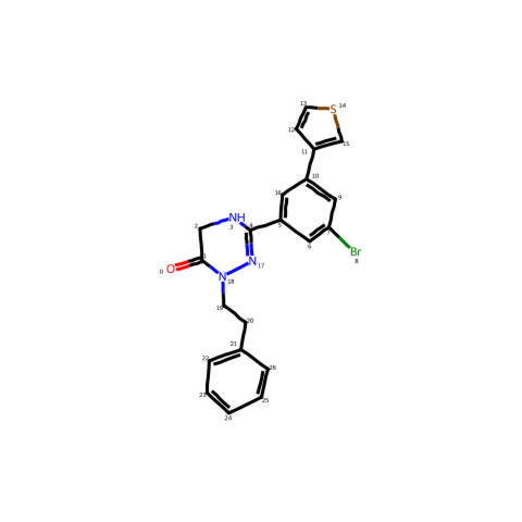 O=C1CNC(c2cc(Br)cc(-c3ccsc3)c2)=NN1CCc1ccccc1